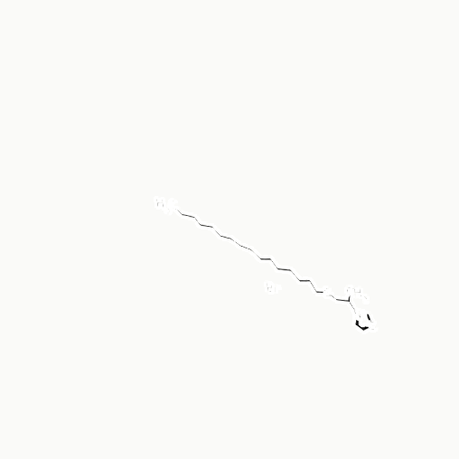 CCCCCCCCCCCCCCCCSCC(C)[n+]1ccsc1.[Br-]